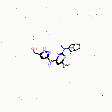 COc1cc(Nc2cc(CO)[nH]n2)nc(N(C)C2CC3CCC(C2)N3)n1